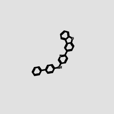 c1ccc(-c2ccc(Nc3ccc(-c4ccc5oc6ccccc6c5c4)nc3)cc2)cc1